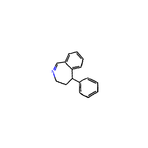 C1=NCCC(c2ccccc2)c2ccccc21